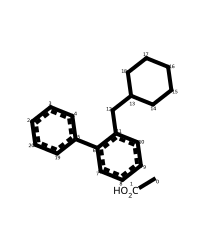 CC(=O)O.c1ccc(-c2ccccc2CC2CCCCC2)cc1